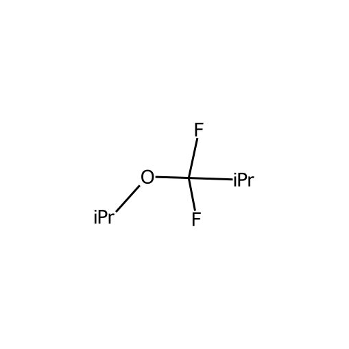 CC(C)OC(F)(F)C(C)C